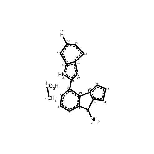 CC(=O)O.NC1c2cccc(-c3nc4ccc(F)cc4[nH]3)c2-n2cccc21